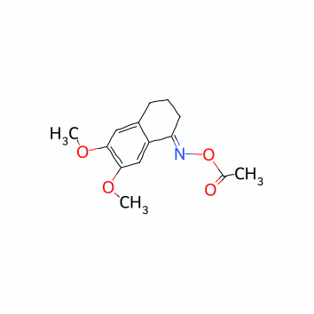 COc1cc2c(cc1OC)/C(=N/OC(C)=O)CCC2